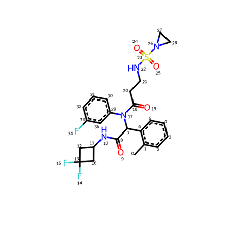 Cc1ccccc1C(C(=O)NC1CC(F)(F)C1)N(C(=O)CCNS(=O)(=O)N1CC1)c1cccc(F)c1